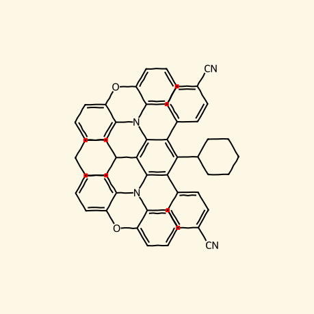 N#Cc1ccc(-c2c(C3CCCCC3)c(-c3ccc(C#N)cc3)c(N3c4ccccc4Oc4ccccc43)c(C3CCCCC3)c2N2c3ccccc3Oc3ccccc32)cc1